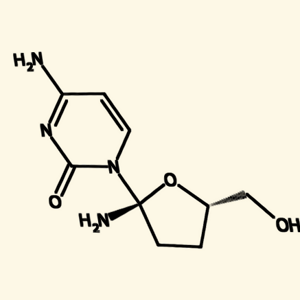 Nc1ccn([C@@]2(N)CC[C@@H](CO)O2)c(=O)n1